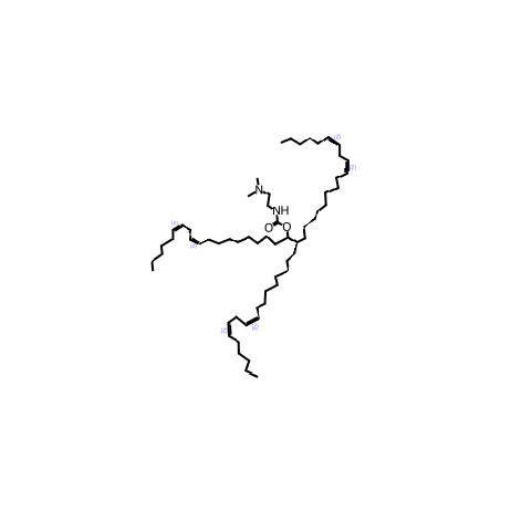 CCCCC/C=C\C/C=C\CCCCCCCCC(CCCCCCCC/C=C\C/C=C\CCCCC)C(CCCCCCCC/C=C\C/C=C\CCCCC)OC(=O)NCCN(C)C